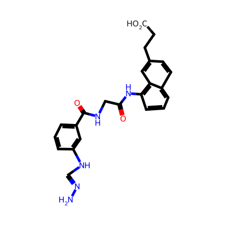 NN=CNc1cccc(C(=O)NCC(=O)Nc2cccc3ccc(CCC(=O)O)cc23)c1